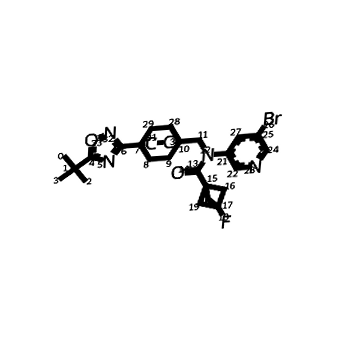 CC(C)(C)c1nc(C23CCC(CN(C(=O)C45CC(F)(C4)C5)c4cncc(Br)c4)(CC2)CC3)no1